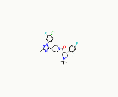 Cc1nc(C2CCN(C(=O)[C@@H]3CN(C(C)(C)C)C[C@H]3c3ccc(F)cc3F)CC2)n(-c2ccc(Cl)c(F)c2)n1